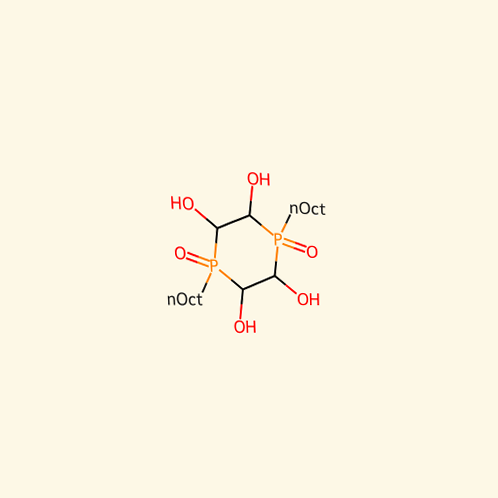 CCCCCCCCP1(=O)C(O)C(O)P(=O)(CCCCCCCC)C(O)C1O